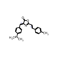 Cc1ccc(/C=C/C2=NC(=C\c3ccc(N(C)C)cc3)/C(=O)O2)cc1